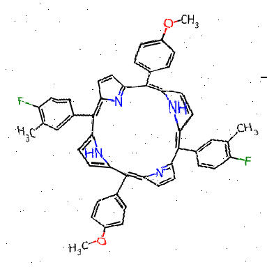 COc1ccc(-c2c3nc(c(-c4ccc(F)c(C)c4)c4ccc([nH]4)c(-c4ccc(OC)cc4)c4nc(c(-c5ccc(F)c(C)c5)c5ccc2[nH]5)C=C4)C=C3)cc1